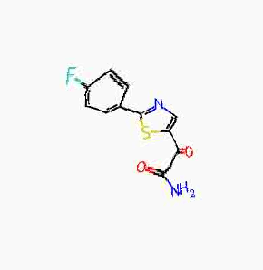 NC(=O)C(=O)c1cnc(-c2ccc(F)cc2)s1